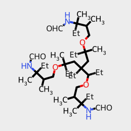 CCC(OCC(C)C(C)(CC)NC=O)C(CC)(CC(C)(CC)OCC(C)C(C)(CC)NC=O)CC(C)(CC)OCC(C)C(C)(CC)NC=O